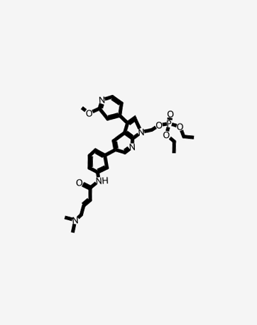 CCOP(=O)(OCC)OCn1cc(-c2ccnc(OC)c2)c2cc(-c3cccc(NC(=O)/C=C/CN(C)C)c3)cnc21